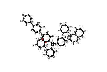 c1ccc(-c2ccc(-c3ccc(N(c4ccc(-c5ccc6ccccc6c5-c5ccccc5)cc4)c4ccccc4-c4ccccc4)cc3)cc2)cc1